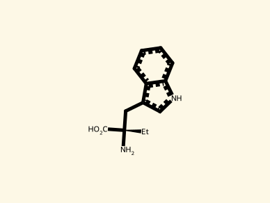 CC[C@](N)(Cc1c[nH]c2ccccc12)C(=O)O